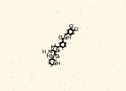 Nc1ncc(-c2cccc(C(=O)NCc3ccc(Cl)c(Cl)c3)c2)nc1C(=O)N[C@H]1CCCNC1